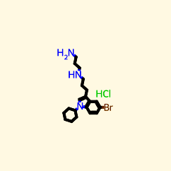 Cl.NCCCNCCCc1cn(C2CCCCC2)c2ccc(Br)cc12